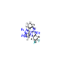 Cc1cc(C2(N)NC(Nc3ccc(F)c(F)c3)=Nc3ccccc32)n[nH]1